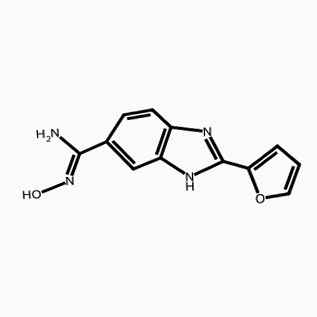 NC(=NO)c1ccc2nc(-c3ccco3)[nH]c2c1